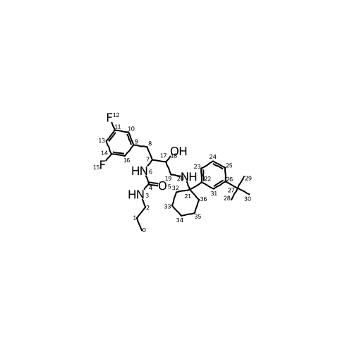 CCCNC(=O)NC(Cc1cc(F)cc(F)c1)C(O)CNC1(c2cccc(C(C)(C)C)c2)CCCCC1